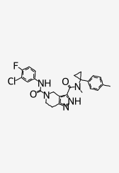 Cc1ccc(C2(N(C)C(=O)c3[nH]nc4c3CN(C(=O)Nc3ccc(F)c(Cl)c3)CC4)CC2)cc1